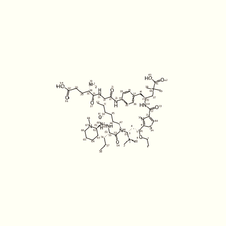 C=C(C)[C@@H](C[C@@H](OCC)c1nc(C(=O)N[C@@H](Cc2ccc(NC(=O)CNC(=O)[C@@H](N)CCC(=O)O)cc2)CC(C)(C)C(=O)O)cs1)N(CCCCCC)C(=O)[C@H](CCC)N[NH+]([O-])[C@H]1CCCCN1C